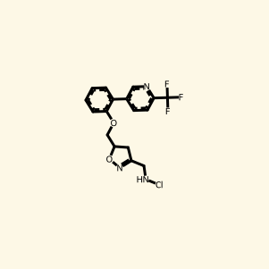 FC(F)(F)c1ccc(-c2ccccc2OCC2CC(CNCl)=NO2)cn1